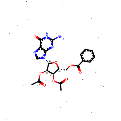 CC(=O)O[C@@H]1[C@H](OC(C)=O)[C@@H](COC(=O)c2ccccc2)O[C@H]1n1cnc2c(=O)[nH]c(N)nc21